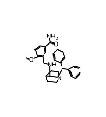 COc1ccc(C(N)=O)cc1CNC1C2CCN(CC2)C1C(c1ccccc1)c1ccccc1